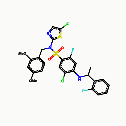 COc1ccc(CN(c2ncc(Cl)s2)S(=O)(=O)c2cc(Cl)c(NC(C)c3ccccc3F)cc2F)c(OC)c1